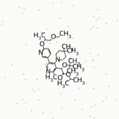 CCOCC(C)Oc1ccc(-c2cnc(C)c(C(OC(C)(C)C)C(=O)OC(C)C)c2N2CCC(C)(C)CC2)cn1